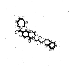 O=C(CN1CCc2ccccc2C1)CN1CCO[C@H]2CC(C(=O)N3CCCCCC3)CCC2C1=O